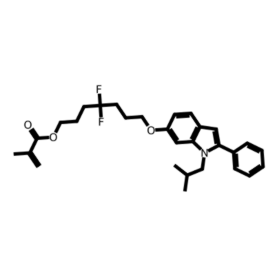 C=C(C)C(=O)OCCCC(F)(F)CCCOc1ccc2cc(-c3ccccc3)n(CC(C)C)c2c1